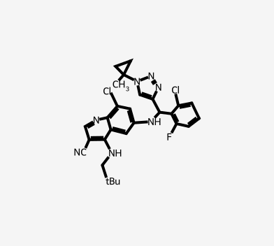 CC(C)(C)CNc1c(C#N)cnc2c(Cl)cc(NC(c3cn(C4(C)CC4)nn3)c3c(F)cccc3Cl)cc12